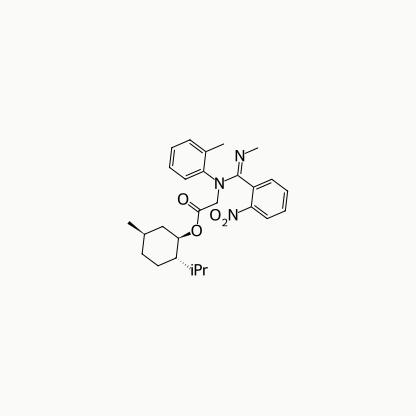 C/N=C(\c1ccccc1[N+](=O)[O-])N(CC(=O)O[C@@H]1C[C@H](C)CC[C@H]1C(C)C)c1ccccc1C